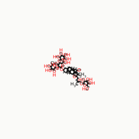 CC1O[C@@H](OC2[C@H](OC3CC[C@@]4(C)C(=CC[C@H]5[C@@H]6CC(=O)[C@H]([C@H](C)C(=O)CC[C@@H](C)CO[C@@H]7OC(CO)[C@@H](O)[C@H](O)C7O)[C@@]6(C)CC[C@@H]54)C3)OC(CO)[C@@H](O[C@@H]3OC(O)[C@H](O)[C@H](O)C3O)[C@@H]2O)C(O)[C@@H](O)[C@H]1O